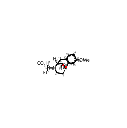 CCN(C(=O)O)N1CC[C@]23CCCC[C@H]2[C@H]1Cc1ccc(OC)cc13